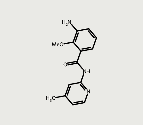 COc1c(N)cccc1C(=O)Nc1cc(C)ccn1